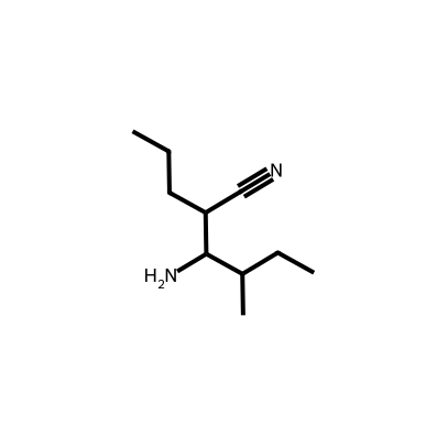 CCCC(C#N)C(N)C(C)CC